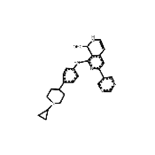 O=CC1NC=Cc2cc(-c3cncnc3)nc(Nc3ccc(C4CCN(C5CC5)CC4)cc3)c21